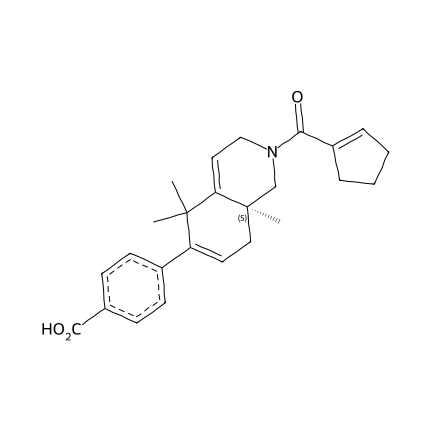 CC1(C)C(c2ccc(C(=O)O)cc2)=CC[C@]2(C)CN(C(=O)C3=CCCC3)CC=C12